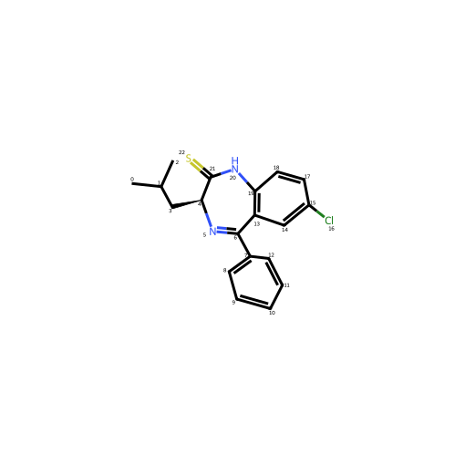 CC(C)C[C@@H]1N=C(c2ccccc2)c2cc(Cl)ccc2NC1=S